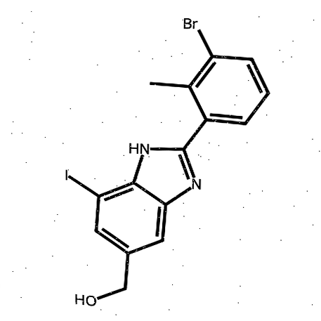 Cc1c(Br)cccc1-c1nc2cc(CO)cc(I)c2[nH]1